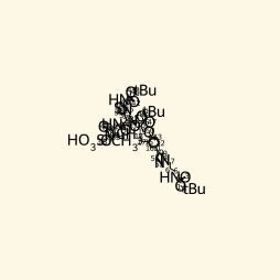 CC(C)(C)OC(=O)NCCCn1cc(-c2ccc3c(c2)CC[C@H]([C@H](O/N=C(\C(=O)N[C@@H]2C(=O)N(OS(=O)(=O)O)C2(C)C)c2csc(NC(=O)OC(C)(C)C)n2)C(=O)OC(C)(C)C)O3)cn1